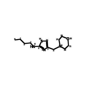 CCCCNc1nc(CN2CCOCC2)cs1